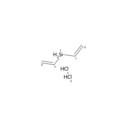 C=C[SiH2]C=C.Cl.Cl